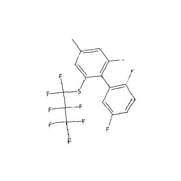 Cc1[c]c(C)c(-c2cc(F)ccc2F)c(SC(F)(F)C(F)(F)C(F)(F)F)c1